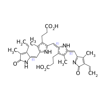 C=CC1=C(C)C(/C=c2/[nH]/c(=C/c3[nH]c(/C=C4/NC(=O)C(C)=C4C=C)c(C)c3CCC(=O)O)c(CCC(=O)O)c2C)=NC1=O